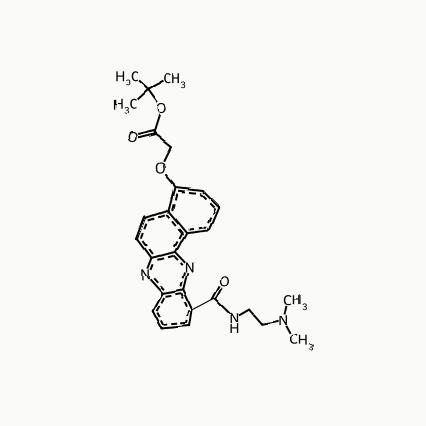 CN(C)CCNC(=O)c1cccc2nc3ccc4c(OCC(=O)OC(C)(C)C)cccc4c3nc12